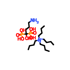 CCCC[N+](CCCC)(CCCC)CCCC.NCCCC(O)(P(=O)(O)O)P(=O)(O)O